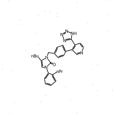 CCCCc1cn(-c2ccccc2CCC)c(=O)n1Cc1ccc(-c2cnccc2-c2nnn[nH]2)cc1